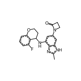 Cc1nc2c(NC3CCOc4cccc(F)c43)cc(N3CCC3=O)cc2[nH]1